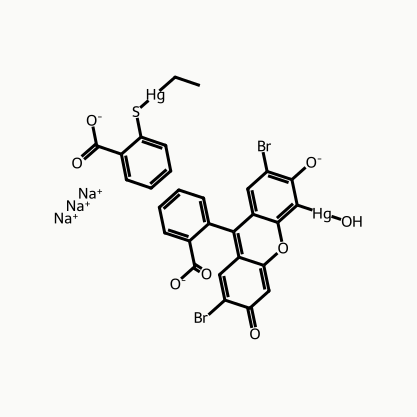 C[CH2][Hg][S]c1ccccc1C(=O)[O-].O=C([O-])c1ccccc1-c1c2cc(Br)c(=O)cc-2oc2[c]([Hg][OH])c([O-])c(Br)cc12.[Na+].[Na+].[Na+]